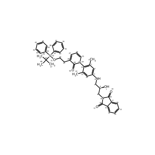 Cc1cc(NC[C@@H](O)CN2C(=O)c3ccccc3C2=O)cc(C)c1-n1cccc(CCO[Si](c2ccccc2)(c2ccccc2)C(C)(C)C)c1=O